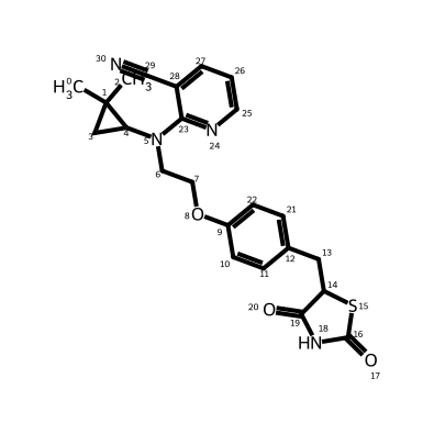 CC1(C)CC1N(CCOc1ccc(CC2SC(=O)NC2=O)cc1)c1ncccc1C#N